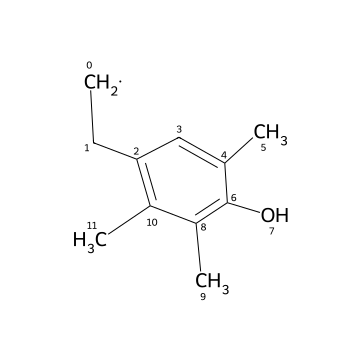 [CH2]Cc1cc(C)c(O)c(C)c1C